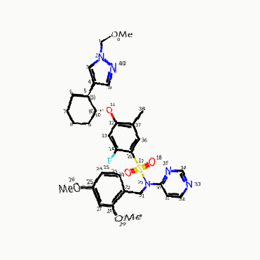 COCn1cc([C@@H]2CCCC[C@H]2Oc2cc(F)c(S(=O)(=O)N(Cc3ccc(OC)cc3OC)c3ccncn3)cc2C)cn1